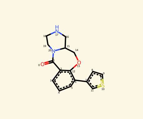 O=C1c2cccc(-c3ccsc3)c2OCC2CNCCN12